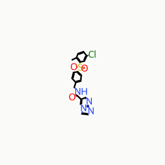 Cc1ccc(Cl)cc1S(=O)(=O)c1ccc(CNC(=O)c2cnc3nccn3c2)cc1